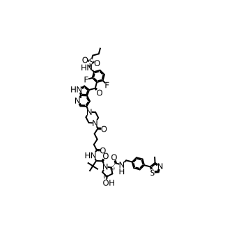 CCCS(=O)(=O)Nc1ccc(F)c(C(=O)c2c[nH]c3ncc(N4CCN(C(=O)CCCC(=O)NC(C(=O)N5C[C@H](O)C[C@H]5C(=O)NCc5ccc(-c6scnc6C)cc5)C(C)(C)C)CC4)cc23)c1F